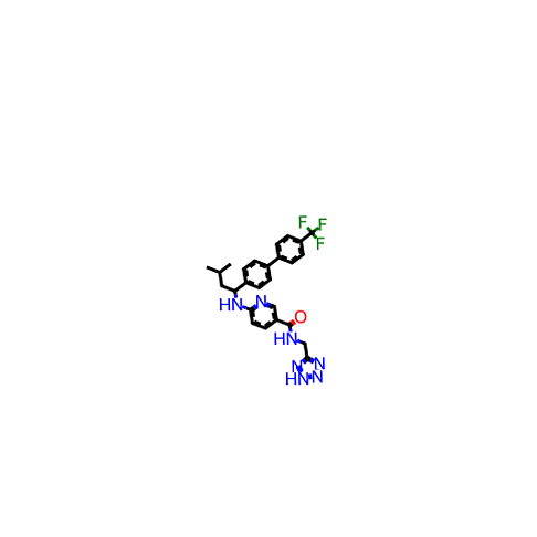 CC(C)CC(Nc1ccc(C(=O)NCc2nn[nH]n2)cn1)c1ccc(-c2ccc(C(F)(F)F)cc2)cc1